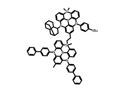 Cc1cc2c3c(c1)N(c1ccc(-c4ccccc4)cc1)c1cccc4c1B3c1c(cccc1[Si]4(C)CCc1cc3c4c(c1)N(C1CC5CC6CCC1C(C6)C5)c1cccc5c1B4c1c(cccc1[Si]5(C)C)N3c1ccc(C(C)(C)C)cc1)N2c1ccc(-c2ccccc2)cc1